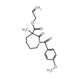 C=CCOC(=O)C1(C)CCCCN(C(=O)c2ccc(OC)cc2)C1=O